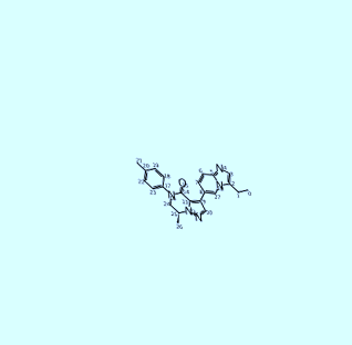 CCc1cnc2ccc(-c3cnn4c3C(=O)N(c3ccc(C)cc3)C[C@@H]4C)cn12